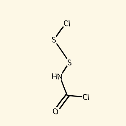 O=C(Cl)NSSCl